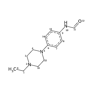 CCN1CCN(c2ccc(NC=O)cc2)CC1